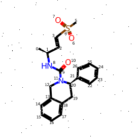 C[C@@H](/C=C/S(C)(=O)=O)NC(=O)N1Cc2ccccc2C[C@@H]1c1ccccc1